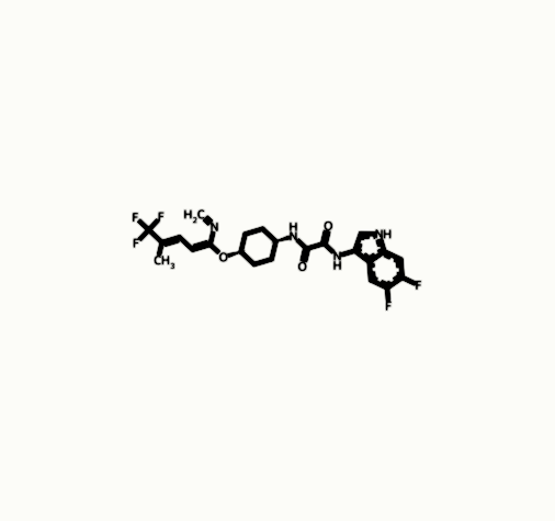 C=N/C(=C\C=C(/C)C(F)(F)F)O[C@H]1CC[C@@H](NC(=O)C(=O)Nc2c[nH]c3cc(F)c(F)cc23)CC1